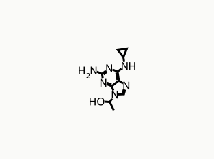 CC(O)n1cnc2c(NC3CC3)nc(N)nc21